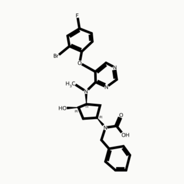 CN(c1ncncc1Oc1ccc(F)cc1Br)[C@H]1C[C@@H](N(Cc2ccccc2)C(=O)O)C[C@H]1O